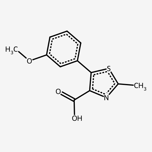 COc1cccc(-c2sc(C)nc2C(=O)O)c1